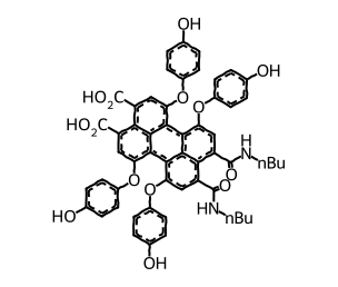 CCCCNC(=O)c1cc(Oc2ccc(O)cc2)c2c3c(Oc4ccc(O)cc4)cc(C(=O)O)c4c(C(=O)O)cc(Oc5ccc(O)cc5)c(c5c(Oc6ccc(O)cc6)cc(C(=O)NCCCC)c1c25)c43